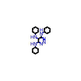 c1ccc(Nc2nnnc(Nc3ccccc3)c2Nc2ccccc2)cc1